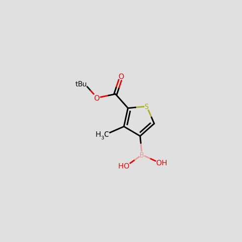 Cc1c(B(O)O)csc1C(=O)OC(C)(C)C